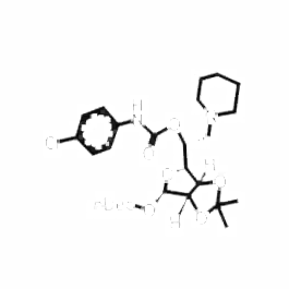 CCCCCCCCCCO[C@H]1O[C@H]([C@@H](CN2CCCCC2)OC(=O)Nc2ccc(Cl)cc2)[C@@H]2OC(C)(C)O[C@H]12